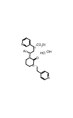 CCOC(=O)[C@H](CN(C(C)=O)N1CCC[C@@H](CCc2ccncc2)C1=O)c1cccnc1.Cl.Cl